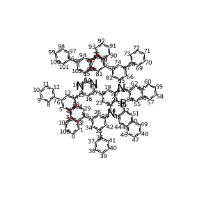 c1ccc(-c2cc(-c3ccccc3)cc(-c3cc(-c4cc5c6c(c4)N(c4cc(-c7ccccc7)cc(-c7ccccc7)c4)c4cc7ccccc7cc4B6c4cc6ccccc6cc4N5c4cc(-c5ccccc5)cc(-c5ccccc5)c4)nc(-c4cc(-c5ccccc5)cc(-c5ccccc5)c4)n3)c2)cc1